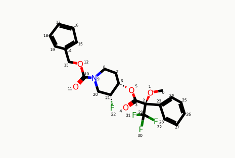 CO[C@@](C(=O)O[C@H]1CCN(C(=O)OCc2ccccc2)C[C@H]1F)(c1ccccc1)C(F)(F)F